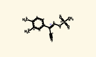 Cc1ccc(/C(C#N)=N/OS(C)(=O)=O)cc1C